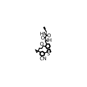 C#CCNC(=O)C(=O)NCc1ccccc1C(=O)CCC1(c2cc(C#N)cc(-c3cccs3)c2)CC1